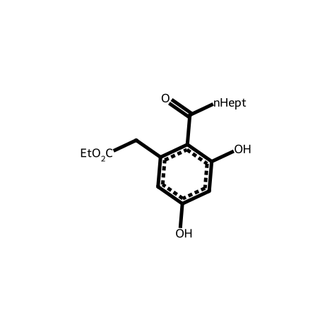 CCCCCCCC(=O)c1c(O)cc(O)cc1CC(=O)OCC